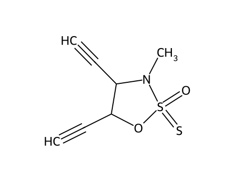 C#CC1OS(=O)(=S)N(C)C1C#C